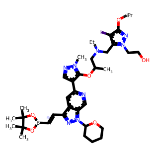 CCN(Cc1c(I)c(OC(C)C)nn1CCO)CC(C)Oc1c(-c2cc3c(/C=C/B4OC(C)(C)C(C)(C)O4)nn(C4CCCCO4)c3cn2)cnn1C